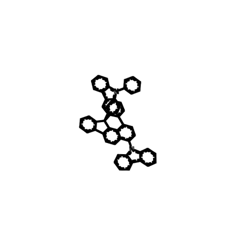 c1ccc(-n2c3ccccc3c3cc(C45c6ccccc6-c6ccc7c(-n8c9ccccc9c9ccccc98)ccc(c7c64)-c4ccccc45)ccc32)cc1